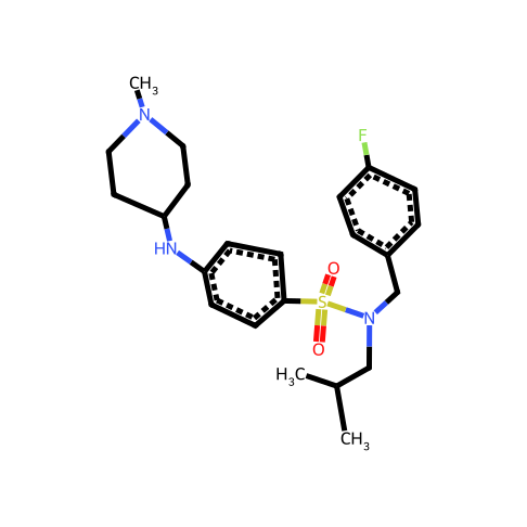 CC(C)CN(Cc1ccc(F)cc1)S(=O)(=O)c1ccc(NC2CCN(C)CC2)cc1